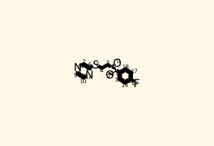 O=S(=O)(CCSc1cnccn1)c1ccc(F)cc1